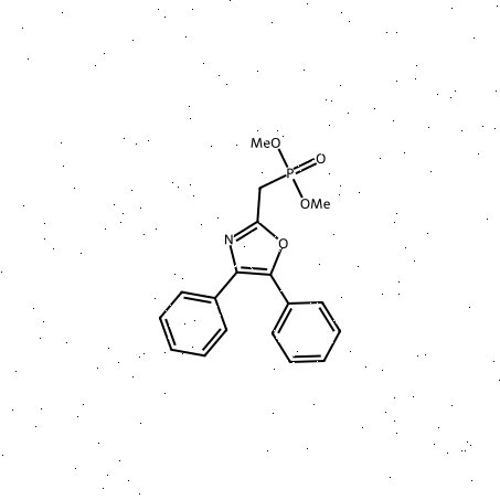 COP(=O)(Cc1nc(-c2ccccc2)c(-c2ccccc2)o1)OC